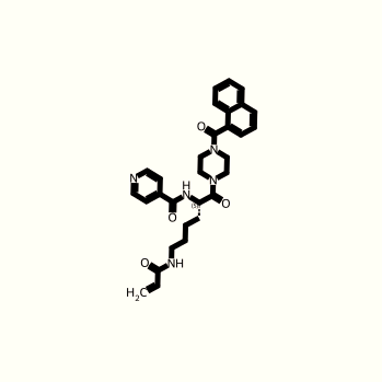 C=CC(=O)NCCCC[C@H](NC(=O)c1ccncc1)C(=O)N1CCN(C(=O)c2cccc3ccccc23)CC1